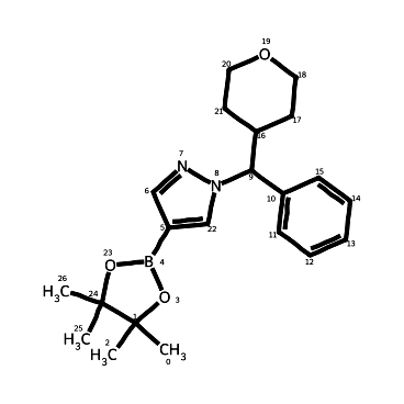 CC1(C)OB(c2cnn(C(c3ccccc3)C3CCOCC3)c2)OC1(C)C